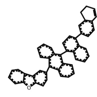 C1=Cc2ccc(-c3ccc(-c4c5ccccc5c(-c5ccc6oc7ccccc7c6c5)c5ccccc45)c4ccccc34)cc2CC1